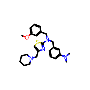 COc1cccc(CN(Cc2cccc(N(C)C)c2)c2nc(CN3CCCCC3)cs2)c1